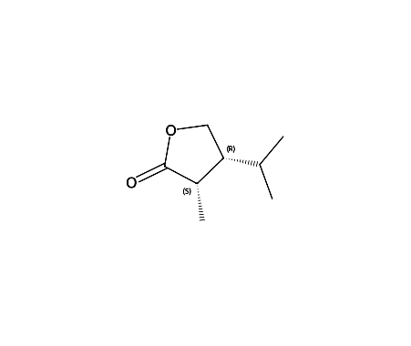 CC(C)[C@H]1COC(=O)[C@H]1C